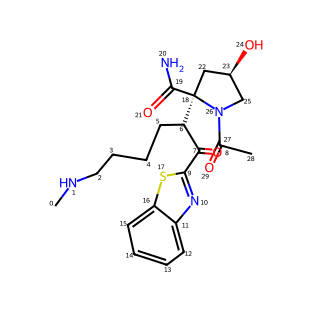 CNCCCCC(C(=O)c1nc2ccccc2s1)[C@]1(C(N)=O)C[C@@H](O)CN1C(C)=O